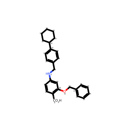 O=C(O)c1ccc(NCc2ccc(C3CCCCC3)cc2)cc1OCc1ccccc1